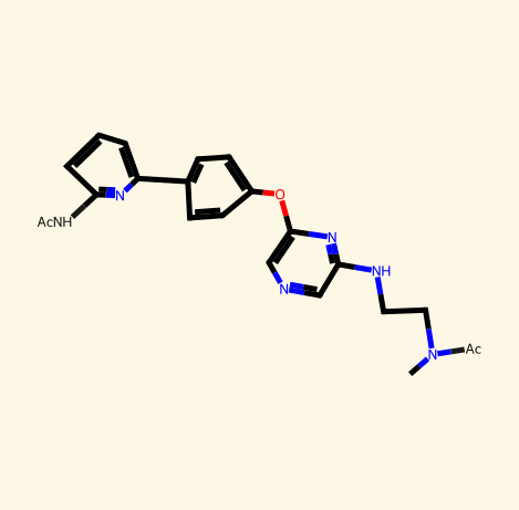 CC(=O)Nc1cccc(-c2ccc(Oc3cncc(NCCN(C)C(C)=O)n3)cc2)n1